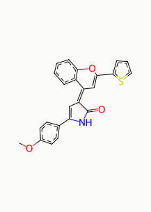 COc1ccc(C2=CC(=C3C=C(c4cccs4)Oc4ccccc43)C(=O)N2)cc1